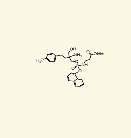 COC(=O)CCNP(=O)(OCC(N)(CO)CCc1ccc(C)cc1)Oc1cccc2ccccc12